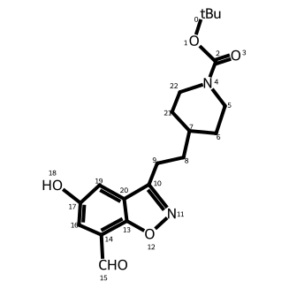 CC(C)(C)OC(=O)N1CCC(CCc2noc3c(C=O)cc(O)cc23)CC1